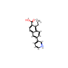 CCc1c(C(=O)O)ccc2cc(-c3cccnc3)ccc12